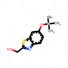 CC(C)(C)[Si](C)(C)Oc1ccc2nc(CO)sc2c1